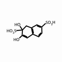 O=S(=O)(O)c1ccc2c(c1)CC(O)(S(=O)(=O)O)C(O)=C2